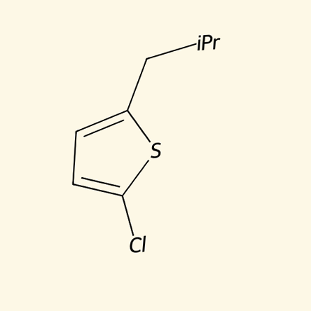 CC(C)Cc1ccc(Cl)s1